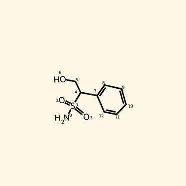 NS(=O)(=O)C(CO)c1ccccc1